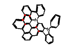 c1ccc(-c2ccccc2N(c2ccc3c4ccccc4n(-c4ccccc4)c3c2)c2ccccc2-c2cccc3cccc(-c4ccccc4)c23)cc1